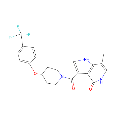 Cc1c[nH]c(=O)c2c(C(=O)N3CCC(Oc4ccc(C(F)(F)F)cc4)CC3)c[nH]c12